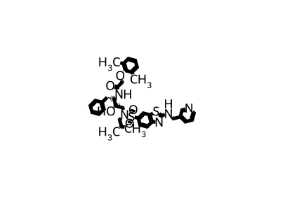 Cc1cccc(C)c1OCC(=O)N[C@@H](Cc1ccccc1)[C@H](O)CN(CC(C)C)S(=O)(=O)c1ccc2nc(NCc3cccnc3)sc2c1